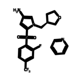 Nc1cc(S(=O)(=O)c2ccc(C(F)(F)F)cc2F)n(C[C@H]2CCOC2)c1.c1ccncc1